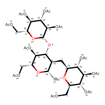 CC(=O)OC[C@H]1O[C@@H](C[C@@H]2[C@@H](O[C@@H]3O[C@H](COC(C)=O)[C@@H](OC(C)=O)[C@H](OC(C)=O)[C@H]3OC(C)=O)[C@H](OC(C)=O)[C@@H](COC(C)=O)O[C@H]2C(C)(C)C)[C@H](OC(C)=O)[C@@H](OC(C)=O)[C@@H]1OC(C)=O